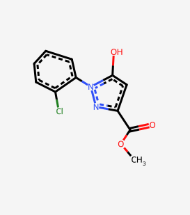 COC(=O)c1cc(O)n(-c2ccccc2Cl)n1